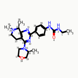 CCNC(=O)Nc1ccc(-c2nc3c(c(N4CCOC[C@@H]4C)n2)CCN(C)[C@H]3C)cc1